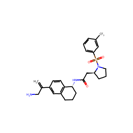 C=C(CN)c1ccc2c(c1)CCC[C@H]2NC(=O)C[C@@H]1CCCN1S(=O)(=O)c1cccc(C(F)(F)F)c1